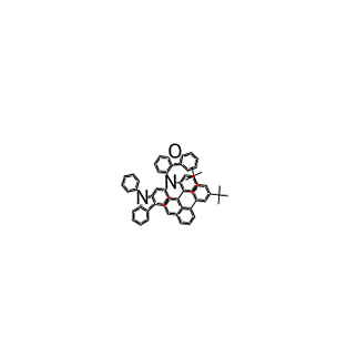 CC(C)(C)c1cc(-c2cccc3cccc(-c4ccccc4N(c4ccc5c6ccccc6n(-c6ccccc6)c5c4)c4cccc5oc6ccccc6c45)c23)cc(C(C)(C)C)c1